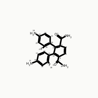 NC(=O)c1ccc(C(N)=O)c(-c2ccc(N)cc2F)c1-c1ccc(N)cc1F